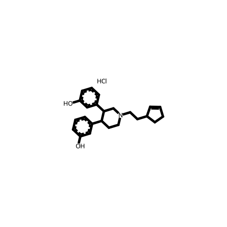 Cl.Oc1cccc(C2CCN(CCC3C=CCC3)CC2c2cccc(O)c2)c1